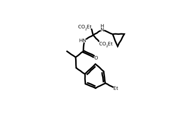 CCOC(=O)C(NC(=O)C(C)Cc1ccc(CC)cc1)(NC1CC1)C(=O)OCC